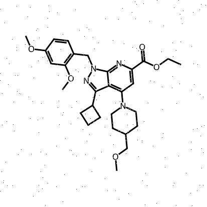 CCOC(=O)c1cc(N2CCC(COC)CC2)c2c(C3CCC3)nn(Cc3ccc(OC)cc3OC)c2n1